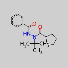 CC(C)(C)N(NC(=O)c1ccccc1)C(=O)C1CCCC1